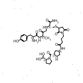 C[C@@H](NC(=O)[C@@H](N)Cc1ccc(O)cc1)C(=O)CN[C@@H](CSC1CC(=O)N(CCCC(=O)N[C@H]2CN[C@H](C(=O)N3CCC[C@H]3B(O)O)C2)C1=O)C(N)=O